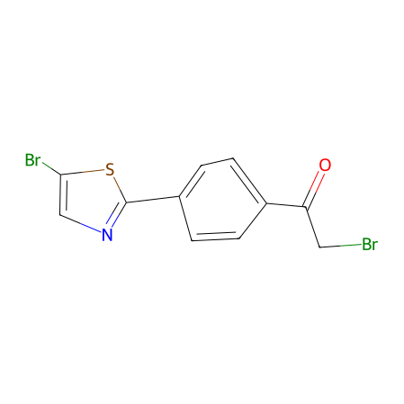 O=C(CBr)c1ccc(-c2ncc(Br)s2)cc1